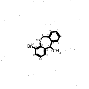 CC1c2ccccc2CSc2c(Br)cccc21